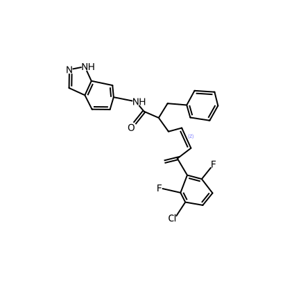 C=C(/C=C\CC(Cc1ccccc1)C(=O)Nc1ccc2cn[nH]c2c1)c1c(F)ccc(Cl)c1F